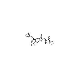 O=C(NCc1cc2cc(C(F)(F)F)c(OCc3cscn3)cc2[nH]1)N1CCCC1